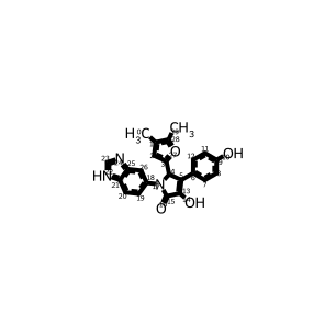 Cc1cc(C2C(c3ccc(O)cc3)=C(O)C(=O)N2c2ccc3[nH]cnc3c2)oc1C